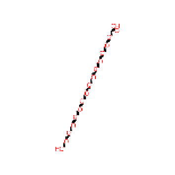 O=C(O)CCOCCOCCOCCOCCOCCOCCOCCOCCOCCOCCOCCOCCOCCOCCO